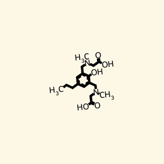 CCCc1cc(CN(C)CC(=O)O)c(O)c(CN(C)CC(=O)O)c1